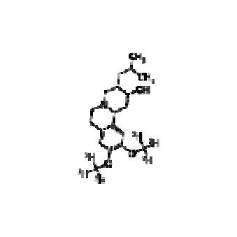 [2H]C([2H])([2H])Oc1cc2c(cc1OC([2H])([2H])[2H])C1CC(O)C(CC(C)C)CN1CC2